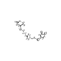 Clc1ccc(OCCC2CCN(CCCCCC3CCCNC3)CC2)cc1Cl